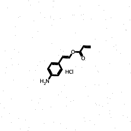 C=CC(=O)OC=Cc1ccc(N)cc1.Cl